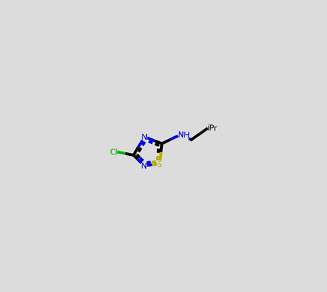 CC(C)CNc1nc(Cl)ns1